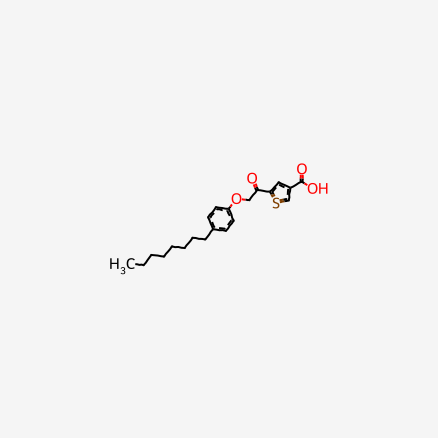 CCCCCCCCc1ccc(OCC(=O)c2cc(C(=O)O)cs2)cc1